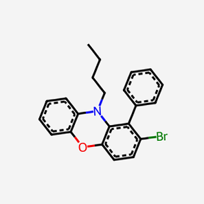 CCCCN1c2ccccc2Oc2ccc(Br)c(-c3ccccc3)c21